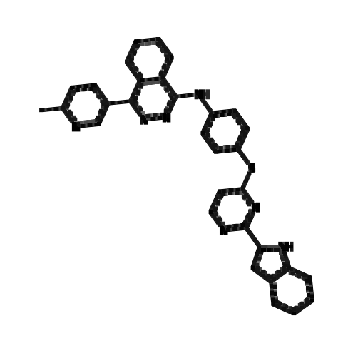 Cc1ccc(-c2nnc(Nc3ccc(Sc4ccnc(-c5cc6ccccc6[nH]5)n4)cc3)c3ccccc23)cn1